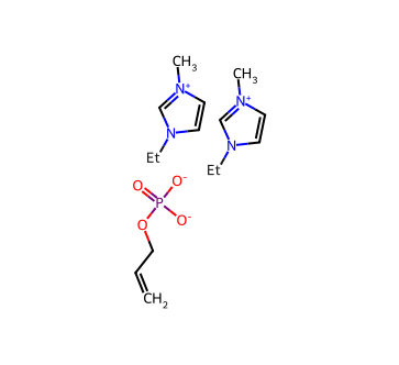 C=CCOP(=O)([O-])[O-].CCn1cc[n+](C)c1.CCn1cc[n+](C)c1